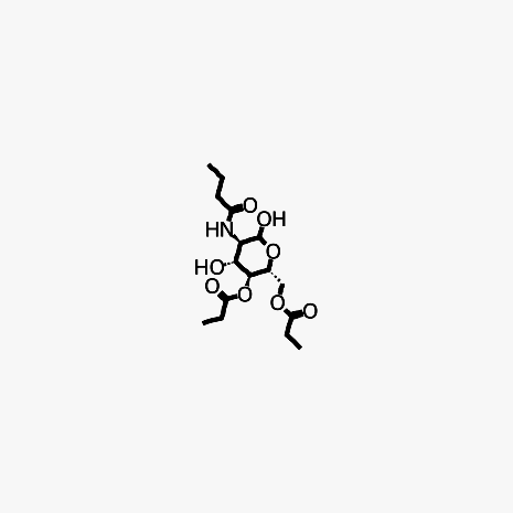 CCCC(=O)N[C@H]1C(O)O[C@H](COC(=O)CC)[C@@H](OC(=O)CC)[C@@H]1O